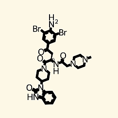 CN1CCN(CC(=O)N[C@H](CC(=O)c2cc(Br)c(N)c(Br)c2)C(=O)N2CCC(n3c(=O)[nH]c4ccccc43)CC2)CC1